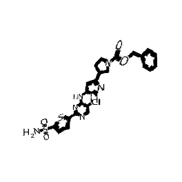 NS(=O)(=O)c1ccc(-c2ncc(Cl)c(Nc3cc(C4CCN(C(=O)OCc5ccccc5)C4)n[nH]3)n2)s1